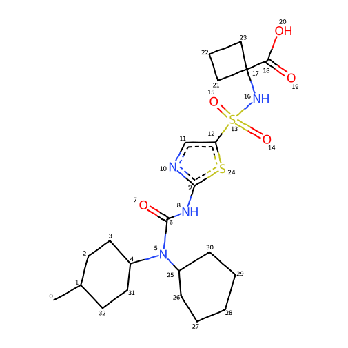 CC1CCC(N(C(=O)Nc2ncc(S(=O)(=O)NC3(C(=O)O)CCC3)s2)C2CCCCC2)CC1